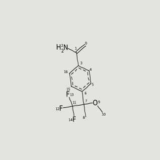 C=C(N)c1ccc(C(C)(OC)C(F)(F)F)cc1